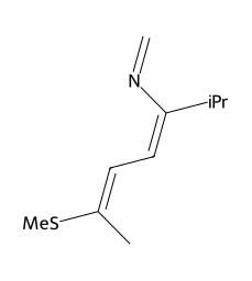 C=N/C(=C\C=C(/C)SC)C(C)C